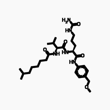 COCc1ccc(NC(=O)[C@H](CCCNC(N)=O)NC(=O)[C@@H](NC(=O)CCCCCC(C)C)C(C)C)cc1